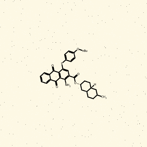 CCCCOc1ccc(Sc2cc(C(=O)O[C@@H]3CC[C@@H]4CC(C)CCC4C3)c(N)c3c2C(=O)c2ccccc2C3=O)cc1